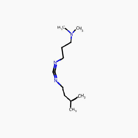 CC(C)CCN=C=NCCCN(C)C